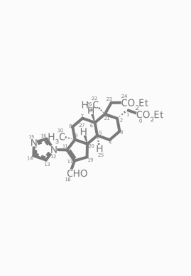 CCOC(=O)C[C@@H]1CC[C@@H]2[C@H](CC[C@]3(C)C(n4ccnc4)=C(C=O)C[C@@H]23)[C@@]1(C)CC(=O)OCC